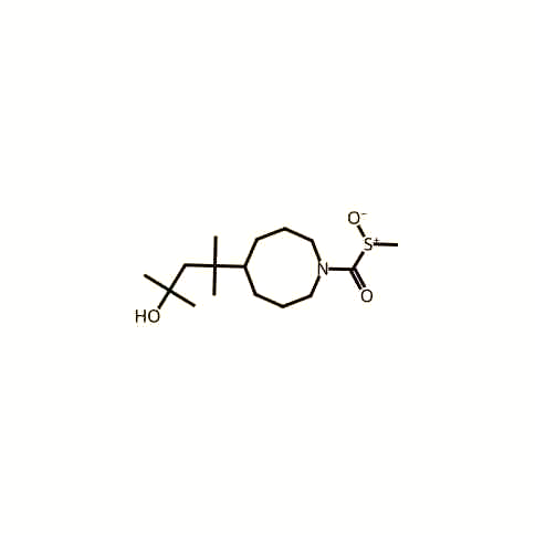 C[S+]([O-])C(=O)N1CCCC(C(C)(C)CC(C)(C)O)CCC1